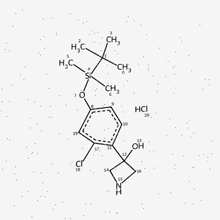 CC(C)(C)[Si](C)(C)Oc1ccc(C2(O)CNC2)c(Cl)c1.Cl